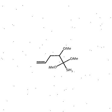 C=CCC(OC)C([SiH3])(OC)OC